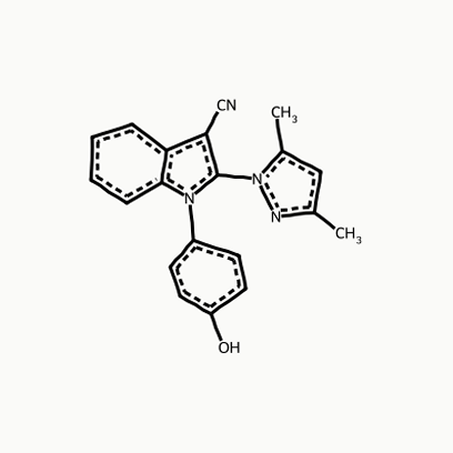 Cc1cc(C)n(-c2c(C#N)c3ccccc3n2-c2ccc(O)cc2)n1